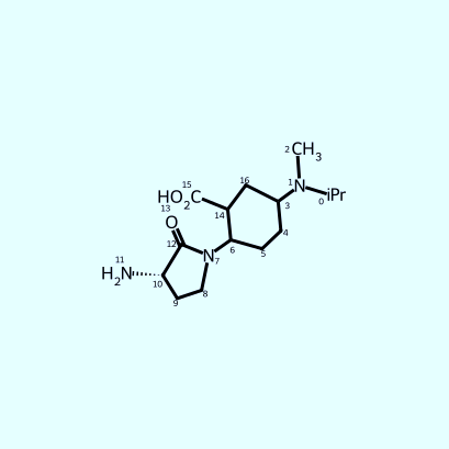 CC(C)N(C)C1CCC(N2CC[C@H](N)C2=O)C(C(=O)O)C1